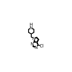 Clc1ncnc2c1ccn2CC1CCNCC1